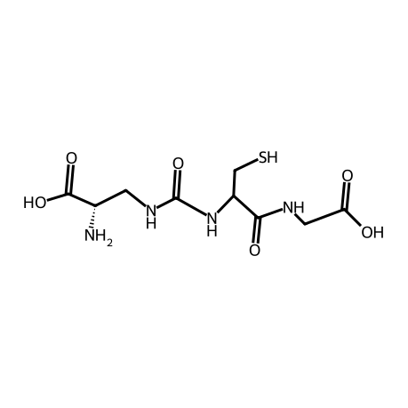 N[C@@H](CNC(=O)NC(CS)C(=O)NCC(=O)O)C(=O)O